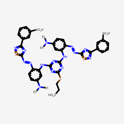 CCN(CC)c1ccc(/N=N/c2nc(-c3cccc(S(=O)(=O)O)c3)ns2)c(Nc2nc(Nc3cc(N(CC)CC)ccc3/N=N/c3nc(-c4cccc(S(=O)(=O)O)c4)ns3)nc(SCCS(=O)(=O)O)n2)c1